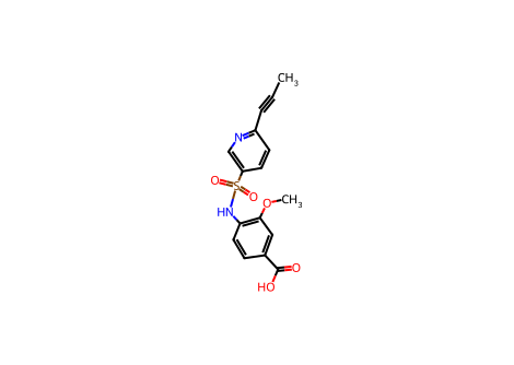 CC#Cc1ccc(S(=O)(=O)Nc2ccc(C(=O)O)cc2OC)cn1